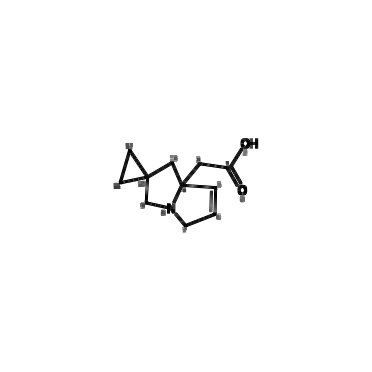 O=C(O)CC12C=CCN1CC1(CC1)C2